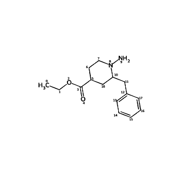 CCOC(=O)C1CCN(N)C(Cc2ccccc2)C1